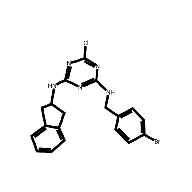 Clc1nc(NCc2ccc(Br)cc2)nc(NC2Cc3ccccc3C2)n1